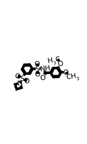 COc1ccc(C(=O)NS(=O)(=O)c2cccc(S(=O)(=O)N3CCC3)c2)cc1OC